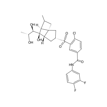 CC1C[C@]23C[C@H](S(=O)(=O)c4cc(C(=O)Nc5ccc(F)c(F)c5)ccc4Cl)C[C@@H]2[C@](O)([C@H](O)[C@@H](C)O)[C@@H]13